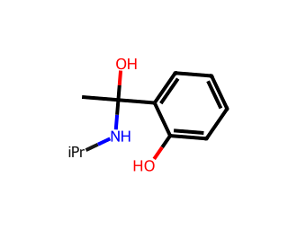 CC(C)NC(C)(O)c1ccccc1O